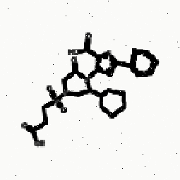 O=C(O)CCS(=O)(=O)N1CC(=O)N(c2cc(-c3ccccc3)sc2C(=O)O)C(C2CCCCC2)C1